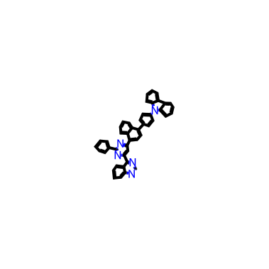 c1ccc(-c2nc(-c3ncnc4ccccc34)cc(-c3ccc(-c4ccc(-n5c6ccccc6c6ccccc65)cc4)c4ccccc34)n2)cc1